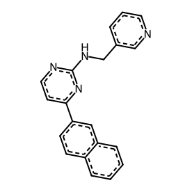 c1cncc(CNc2nccc(-c3ccc4ccccc4c3)n2)c1